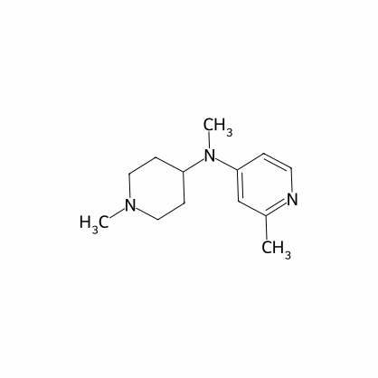 Cc1cc(N(C)C2CCN(C)CC2)ccn1